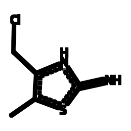 Cc1sc(=N)[nH]c1CCl